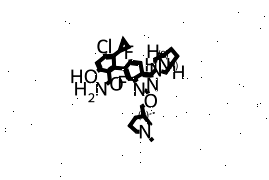 CN1CCC[C@@](C)(COc2nc(N3C[C@H]4CC[C@@H](C3)N4)c3cc(F)c(-c4c(C(N)=O)c(O)cc(Cl)c4C4CC4)c(F)c3n2)C1